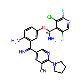 N#Cc1cc(C(=N)c2cc(O[C@H](N)c3c(Cl)cnc(F)c3Cl)ccc2N)cnc1N1CCCC1